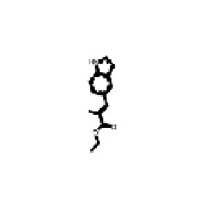 CCOC(=O)/C(C)=C/c1ccc2[nH]ccc2c1